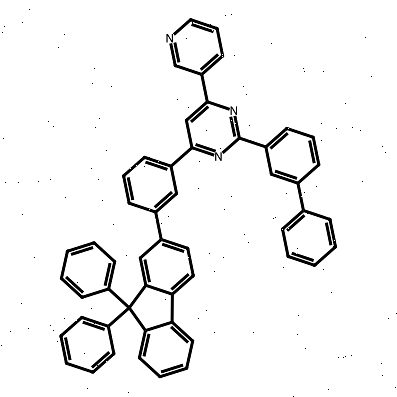 c1ccc(-c2cccc(-c3nc(-c4cccnc4)cc(-c4cccc(-c5ccc6c(c5)C(c5ccccc5)(c5ccccc5)c5ccccc5-6)c4)n3)c2)cc1